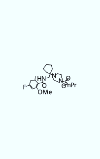 CCCS(=O)(=O)N1CCN(C2(CNC(=O)c3c(C)cc(F)cc3OC)CCCCC2)CC1